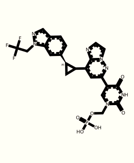 O=c1[nH]c(=O)n(COP(=O)(O)O)cc1-c1cc(C2C[C@H]2c2ccc3cnn(CC(F)(F)F)c3c2)c2nccn2n1